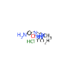 Cl.Cn1cc(CN(Cc2ccc(N)cc2)C(=O)NCC(=O)O)nn1